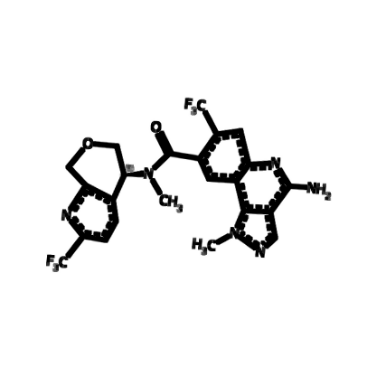 CN(C(=O)c1cc2c(cc1C(F)(F)F)nc(N)c1cnn(C)c12)[C@@H]1COCc2nc(C(F)(F)F)ccc21